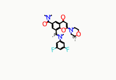 C[C@@H]1CN(c2cc(=O)c3cc(C(=O)N(C)C)cc([C@@H](C)N(C)c4cc(F)cc(F)c4)c3o2)CCO1